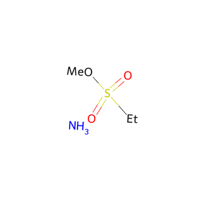 CCS(=O)(=O)OC.N